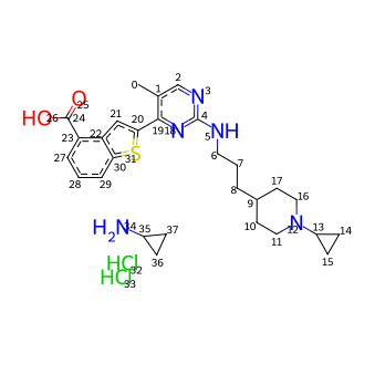 Cc1cnc(NCCCC2CCN(C3CC3)CC2)nc1-c1cc2c(C(=O)O)cccc2s1.Cl.Cl.NC1CC1